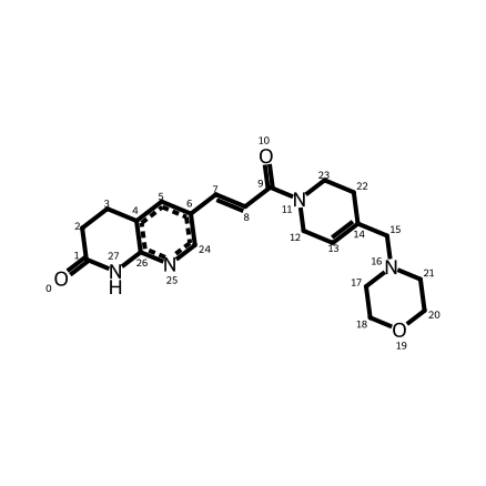 O=C1CCc2cc(C=CC(=O)N3CC=C(CN4CCOCC4)CC3)cnc2N1